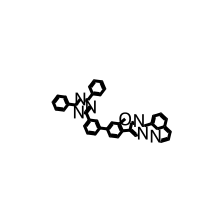 c1ccc(-c2nc(-c3ccccc3)nc(-c3cccc(-c4ccc5c(c4)oc4nc(-c6cccc7cccnc67)ncc45)c3)n2)cc1